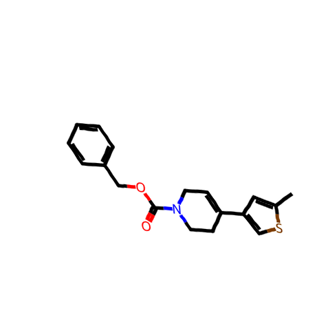 Cc1cc(C2=CCN(C(=O)OCc3ccccc3)CC2)cs1